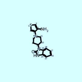 Nc1cscc1N1CCC(n2c(=O)[nH]c3ccccc32)CC1